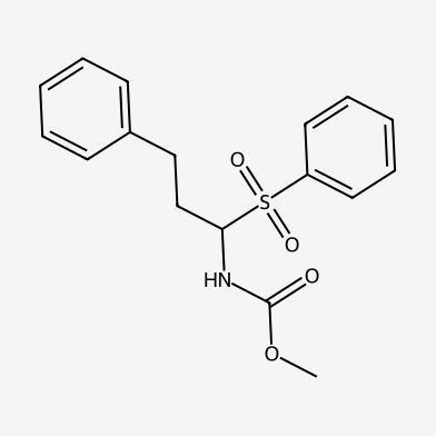 COC(=O)NC(CCc1ccccc1)S(=O)(=O)c1ccccc1